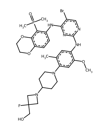 COc1cc(N2CCC(N3CC(F)(CO)C3)CC2)c(C)cc1Nc1ncc(Br)c(Nc2ccc3c(c2P(C)(C)=O)OCCO3)n1